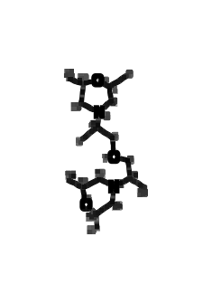 CC1CN(C(C)COCC(C)N2CC(C)OC(C)C2)CC(C)O1